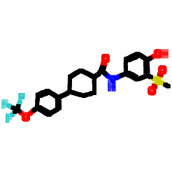 CS(=O)(=O)c1cc(NC(=O)C2CCC(c3ccc(OC(F)(F)F)cc3)CC2)ccc1O